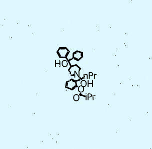 CCCC(O)(c1ccccc1OC(=O)C(C)C)N1CCC(C(O)(c2ccccc2)c2ccccc2)CC1